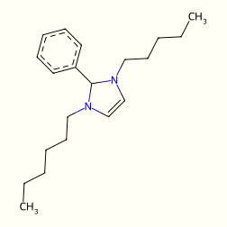 CCCCCCN1C=CN(CCCCC)C1c1ccccc1